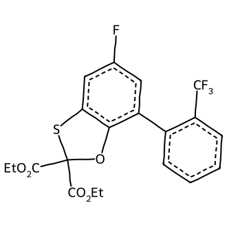 CCOC(=O)C1(C(=O)OCC)Oc2c(cc(F)cc2-c2ccccc2C(F)(F)F)S1